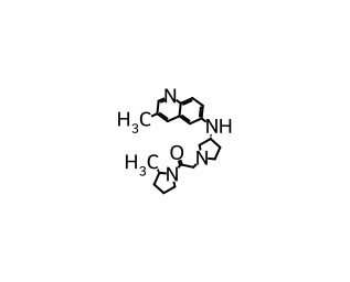 Cc1cnc2ccc(N[C@@H]3CCN(CC(=O)N4CCC[C@H]4C)C3)cc2c1